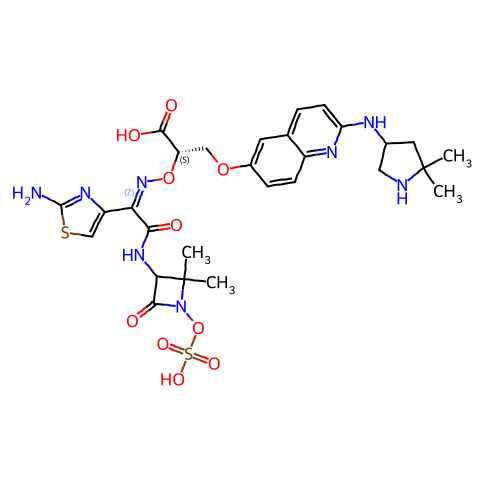 CC1(C)CC(Nc2ccc3cc(OC[C@H](O/N=C(\C(=O)NC4C(=O)N(OS(=O)(=O)O)C4(C)C)c4csc(N)n4)C(=O)O)ccc3n2)CN1